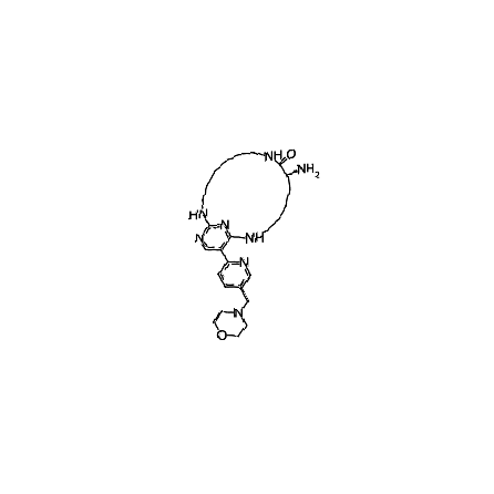 N[C@H]1CCCCNc2nc(ncc2-c2ccc(CN3CCOCC3)cn2)NCCCCCCNC1=O